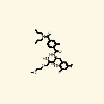 CCCN(CCC)C(=O)c1ccc(C(=O)N[C@@H](Cc2cc(F)cc(F)c2)[C@@H](O)C(O)COCCOC)c(C)c1